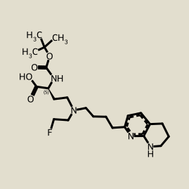 CC(C)(C)OC(=O)N[C@@H](CCN(CCF)CCCCc1ccc2c(n1)NCCC2)C(=O)O